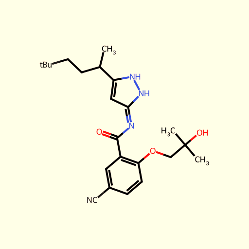 CC(CCC(C)(C)C)c1cc(=NC(=O)c2cc(C#N)ccc2OCC(C)(C)O)[nH][nH]1